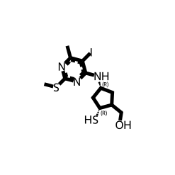 CSc1nc(C)c(I)c(N[C@@H]2CC(CO)[C@H](S)C2)n1